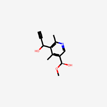 C#CC(O)c1c(C)ncc([C@@H](O)OC)c1C